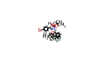 CC(C)(C)OC(=O)N(CCc1ccc(Br)cc1)C[C@@H](O[Si](C)(C)C(C)(C)C)c1cccc(Cl)c1